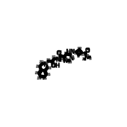 CN(C)C(=O)[C@H]1C[C@H](Nc2cc(C(=O)NC[C@H](O)CN3CCc4ccccc4C3)ncn2)C1